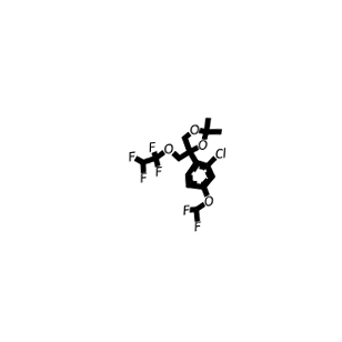 CC1(C)OCC(COC(F)(F)C(F)F)(c2ccc(OC(F)F)cc2Cl)O1